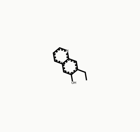 CCc1cc2ncccc2cc1O